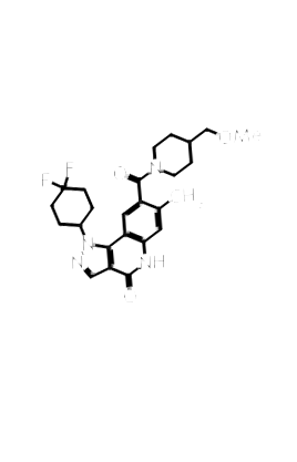 COCC1CCN(C(=O)c2cc3c(cc2C)[nH]c(=O)c2cnn(C4CCC(F)(F)CC4)c23)CC1